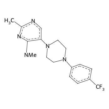 CNc1nc(C)ncc1N1CCN(c2ccc(C(F)(F)F)cc2)CC1